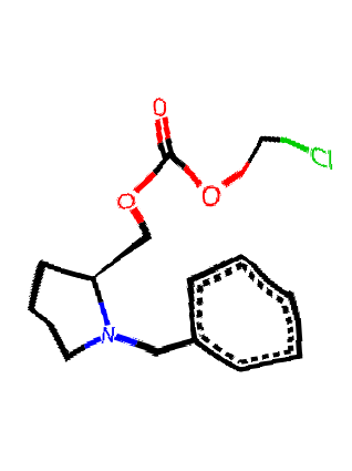 O=C(OCCl)OC[C@@H]1CCCN1Cc1ccccc1